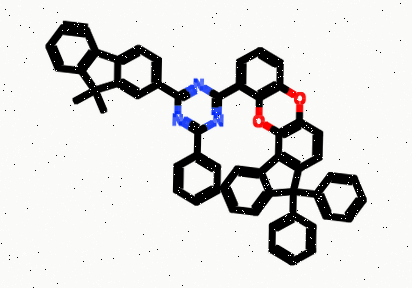 CC1(C)c2ccc#cc2-c2ccc(-c3nc(-c4ccccc4)nc(-c4cccc5c4Oc4c(ccc6c4-c4ccccc4C6(c4ccccc4)c4ccccc4)O5)n3)cc21